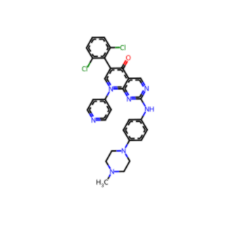 CN1CCN(c2ccc(Nc3ncc4c(=O)c(-c5c(Cl)cccc5Cl)cn(-c5ccncc5)c4n3)cc2)CC1